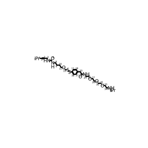 CC(C)C#CCNC(=O)NCCCCOCSSc1ccc(CC(=O)NCCOCCOCCOCCNC(C)C)cc1